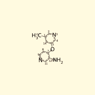 Cc1cncc(Oc2ccncc2N)c1